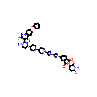 NC(=O)c1c(-c2ccc(Oc3ccccc3)cc2)nn2c1NCC[C@H]2C1CCN(C2CCN(C3CN(C4CN(c5ccc6c(c5)C(=O)N(C5CCC(=O)NC5=O)C6=O)C4)C3)CC2)CC1